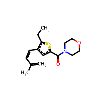 C=C(C)/C=C\c1cc(C(=O)N2CCOCC2)sc1CC